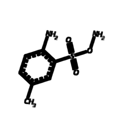 Cc1ccc(N)c(S(=O)(=O)ON)c1